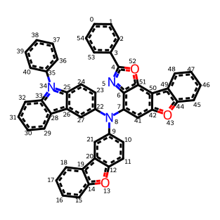 c1ccc(-c2nc3c(N(c4ccc5oc6ccccc6c5c4)c4ccc5c(c4)c4ccccc4n5-c4ccccc4)cc4oc5ccccc5c4c3o2)cc1